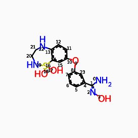 N/C(=N\O)c1cccc(Oc2ccc3c(c2)S(O)(O)NCCN3)c1